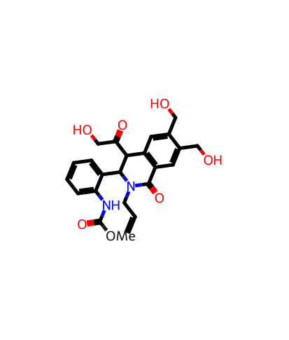 C=CCN1C(=O)c2cc(CO)c(CO)cc2C(C(=O)CO)C1c1ccccc1NC(=O)OC